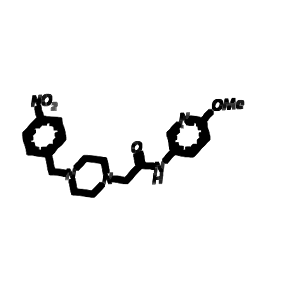 COc1ccc(NC(=O)CN2CCN(Cc3ccc([N+](=O)[O-])cc3)CC2)cn1